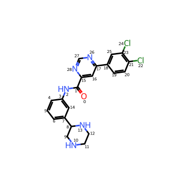 O=C(Nc1cccc(C2CNCCN2)c1)c1cc(-c2ccc(Cl)c(Cl)c2)ncn1